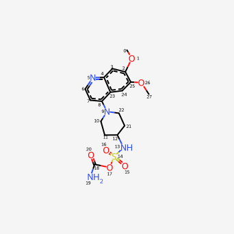 COc1cc2nccc(N3CCC(NS(=O)(=O)OC(N)=O)CC3)c2cc1OC